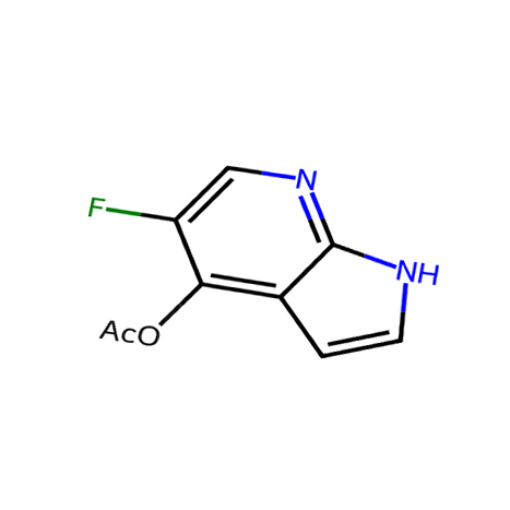 CC(=O)Oc1c(F)cnc2[nH]ccc12